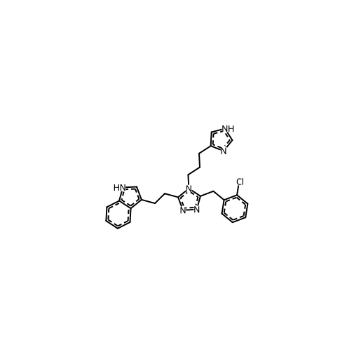 Clc1ccccc1Cc1nnc(CCc2c[nH]c3ccccc23)n1CCCc1c[nH]cn1